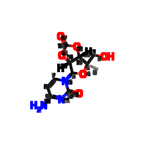 C[C@]1(CO)O[C@@H](n2ccc(N)nc2=O)[C@@H]2OC(=O)O[C@@H]21